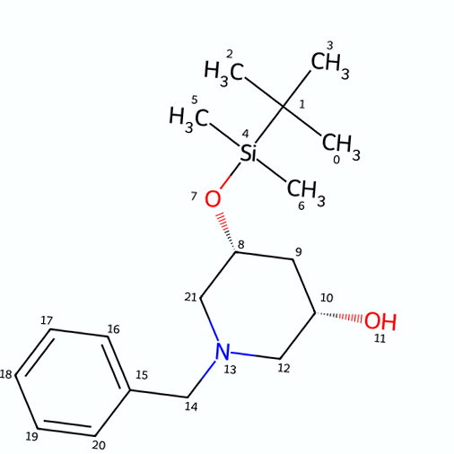 CC(C)(C)[Si](C)(C)O[C@@H]1C[C@H](O)CN(Cc2ccccc2)C1